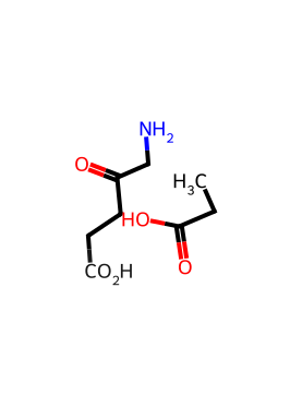 CCC(=O)O.NCC(=O)CCC(=O)O